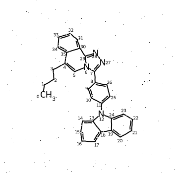 CCCCc1cn2c(-c3ccc(-n4c5ccccc5c5ccccc54)cc3)nnc2c2ccccc12